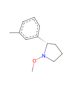 CON1CCC[C@H]1c1cccc(C)c1